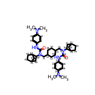 CN(C)c1ccc(NC(=O)N(CC2CCC(CN(C(=O)Nc3ccc(N(C)C)cc3)C3CC4CCC3C4)CC2)C2CC3CCC2C3)cc1